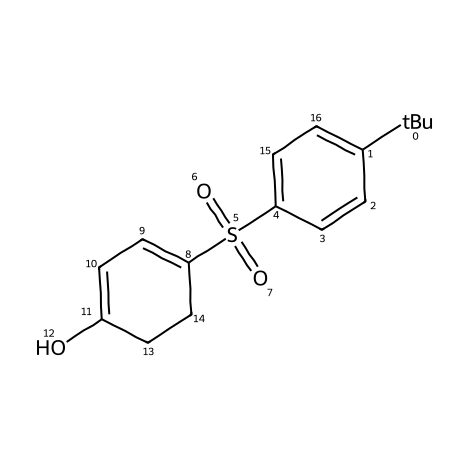 CC(C)(C)c1ccc(S(=O)(=O)C2=CC=C(O)CC2)cc1